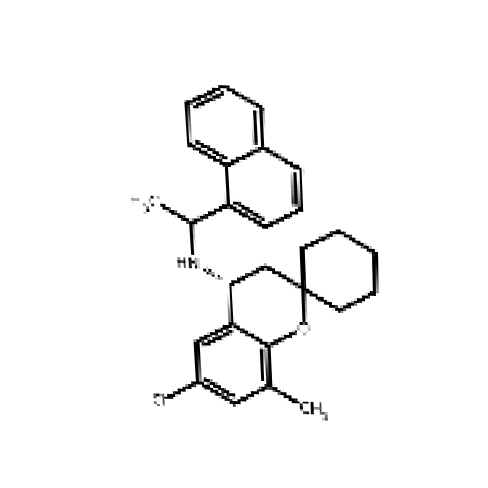 Cc1cc(Cl)cc2c1OC1(CCCCC1)C[C@H]2NC(C)c1cccc2ccccc12